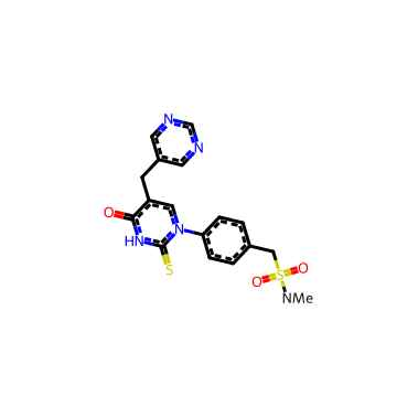 CNS(=O)(=O)Cc1ccc(-n2cc(Cc3cncnc3)c(=O)[nH]c2=S)cc1